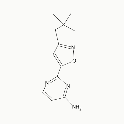 CC(C)(C)Cc1cc(-c2nccc(N)n2)on1